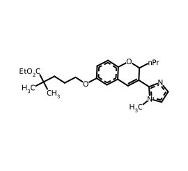 CCCC1Oc2ccc(OCCCC(C)(C)C(=O)OCC)cc2C=C1c1nccn1C